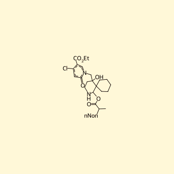 CCCCCCCCCC(C)C(=O)OC1NCCC(O)(Cn2cc(C(=O)OCC)c(Cl)cc2=O)C12CCCCC2